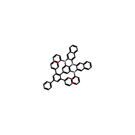 c1ccc(-c2cc(-c3ccccc3)c(-c3cc4c5c(c3)N(c3ccccc3)c3cc6ccccc6cc3B5c3cc5ccccc5cc3N4c3ccccc3)c(-c3ccccc3)c2)cc1